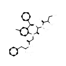 CN(C(=O)C(N)CS)C1N=C(c2ccccc2)c2cc(Cl)ccc2N(CC(=O)N[C@@H](Cc2ccccc2)C(=O)O)C1=O